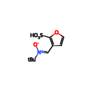 CC(C)(C)[N+]([O-])=Cc1ccoc1S(=O)(=O)O